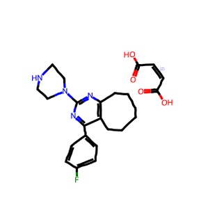 Fc1ccc(-c2nc(N3CCNCC3)nc3c2CCCCCC3)cc1.O=C(O)/C=C\C(=O)O